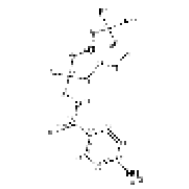 CCOCC(C)(COCC(F)(F)F)COC(=O)c1ccc(N)cc1